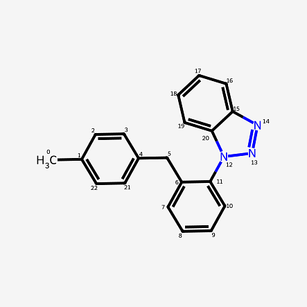 Cc1ccc(Cc2ccccc2-n2nnc3ccccc32)cc1